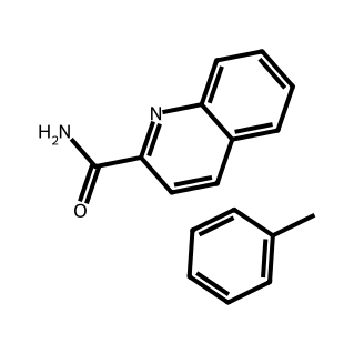 Cc1ccccc1.NC(=O)c1ccc2ccccc2n1